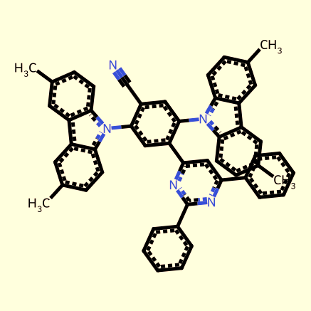 Cc1ccc2c(c1)c1cc(C)ccc1n2-c1cc(-c2cc(-c3ccccc3)nc(-c3ccccc3)n2)c(-n2c3ccc(C)cc3c3cc(C)ccc32)cc1C#N